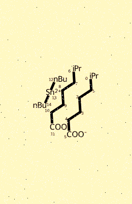 CC(C)CCCCC(=O)[O-].CC(C)CCCCC(=O)[O-].CCC[CH2][Sn+2][CH2]CCC